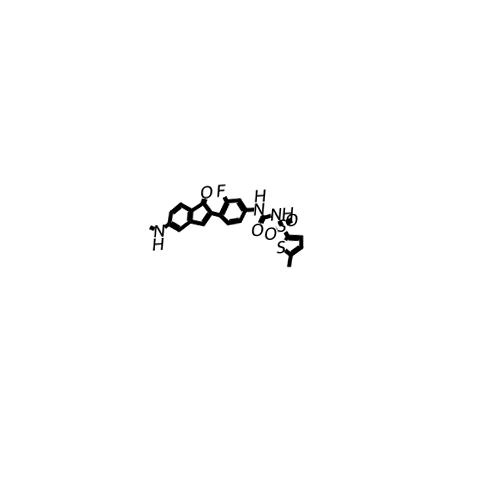 CNc1ccc2c(c1)C=C(c1ccc(NC(=O)NS(=O)(=O)c3ccc(C)s3)cc1F)C2=O